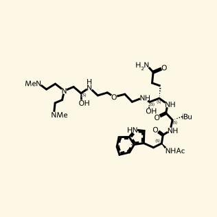 CCC(C)[C@H](NC(=O)[C@H](Cc1c[nH]c2ccccc12)NC(C)=O)C(=O)N[C@@H](CCC(N)=O)[C@H](O)NCCOCCN[C@@H](O)CN(CCNC)CCNC